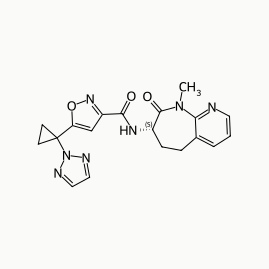 CN1C(=O)[C@@H](NC(=O)c2cc(C3(n4nccn4)CC3)on2)CCc2cccnc21